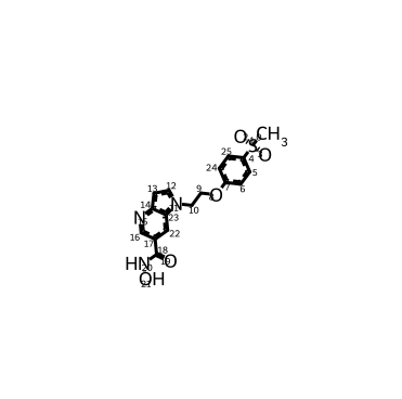 CS(=O)(=O)c1ccc(OCCn2ccc3ncc(C(=O)NO)cc32)cc1